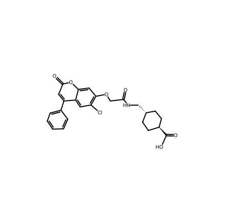 O=C(COc1cc2oc(=O)cc(-c3ccccc3)c2cc1Cl)NC[C@H]1CC[C@H](C(=O)O)CC1